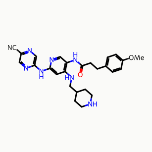 COc1ccc(CCC(=O)Nc2cnc(Nc3cnc(C#N)cn3)cc2NCC2CCNCC2)cc1